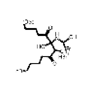 Br.CCCCCCCCCCCCCC(=O)C(C)C(O)(NC(O)C(C)C)C(=O)CCCCCCCCCCCCC